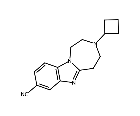 N#Cc1ccc2c(c1)nc1n2CCN(C2CCC2)CC1